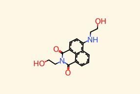 O=C1c2cccc3c(NCCO)ccc(c23)C(=O)N1CCO